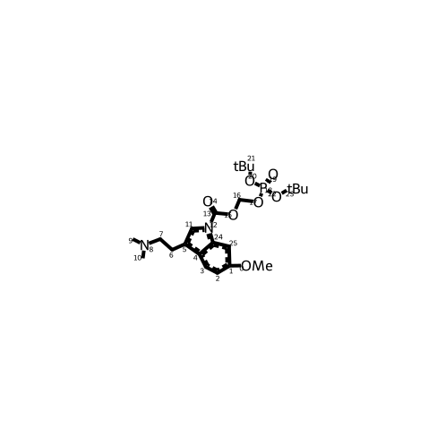 COc1ccc2c(CCN(C)C)cn(C(=O)OCOP(=O)(OC(C)(C)C)OC(C)(C)C)c2c1